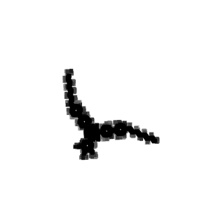 CCCCCCCCc1ccc(-c2ccc(-c3nc(-c4ccc(-c5ccc(CCCCCCCC)cc5)cc4)nc(-c4cc(C)c(C)c(C)c4)n3)cc2)cc1